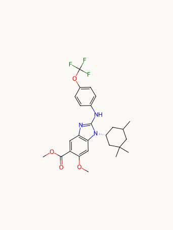 COC(=O)c1cc2nc(Nc3ccc(OC(F)(F)F)cc3)n([C@@H]3CC(C)CC(C)(C)C3)c2cc1OC